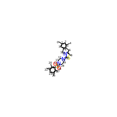 Cc1cc(C)c(Cc2csc(N3CCN(S(=O)(=O)c4c(C)c(C)cc(C)c4C)CC3)n2)c(C)c1